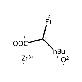 CCCCC(CC)C(=O)[O-].[O-2].[Zr+3]